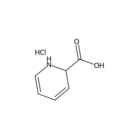 Cl.O=C(O)C1C=CC=CN1